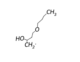 [CH2]C(O)CCOCCCC